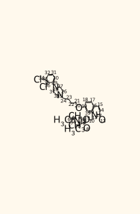 CC(NC(C)(C)C)C(=O)OCn1c(=O)ccc2ccc(OCCCCN3CCN(c4cccc(Cl)c4Cl)CC3)cc21